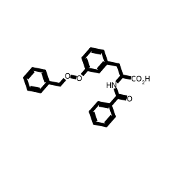 O=C(NC(Cc1cccc(OOCc2ccccc2)c1)C(=O)O)c1ccccc1